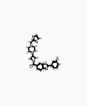 O=C(c1ccc2nc(-c3cccc(F)c3)sc2c1)N1CC(N2CCN(Cc3nccs3)CC2)C1